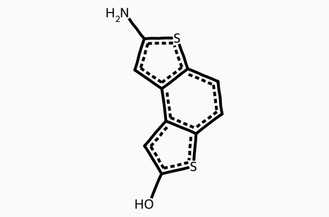 Nc1cc2c(ccc3sc(O)cc32)s1